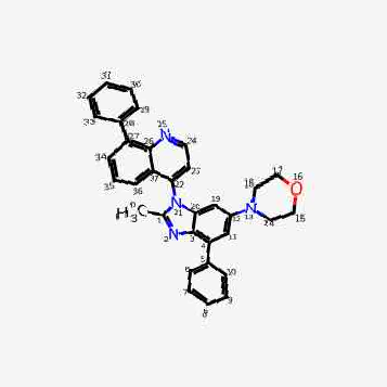 Cc1nc2c(-c3ccccc3)cc(N3CCOCC3)cc2n1-c1ccnc2c(-c3ccccc3)cccc12